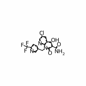 NC(=O)c1c(O)c2cc(Cl)cnc2n(Cc2ccc(C(F)(F)F)nc2)c1=O